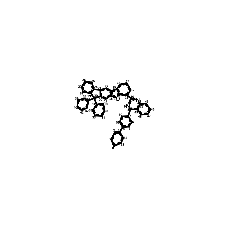 c1ccc(-c2ccc(-c3nc(-c4cccc5c4oc4cc6c(cc45)-c4ccccc4C6(c4ccccc4)c4ccccc4)nc4ccccc34)cc2)cc1